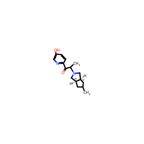 CC1C[C@@H]2CN(C(C)C(=O)c3ccc(O)cn3)C[C@@H]2C1